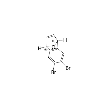 Brc1cc2c(cc1Br)[C@H]1C=C[C@@H]2O1